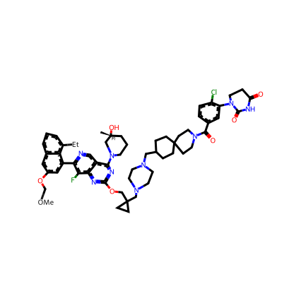 CCc1cccc2cc(OCOC)cc(-c3ncc4c(N5CCC[C@@](C)(O)C5)nc(OCC5(CN6CCN(CC7CCC8(CC7)CCN(C(=O)c7ccc(Cl)c(N9CCC(=O)NC9=O)c7)CC8)CC6)CC5)nc4c3F)c12